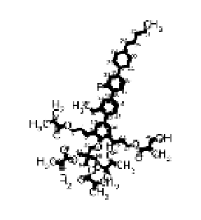 C=C(C)C(=O)OCCCc1cc(-c2ccc(-c3ccc(C4CCC(CCCCC)CC4)cc3F)cc2CC)cc(CCCOC(=O)C(=C)CO)c1OCC(COC(=O)C(=C)C)(COC(=O)C(=C)C)COC(=O)C(=C)C